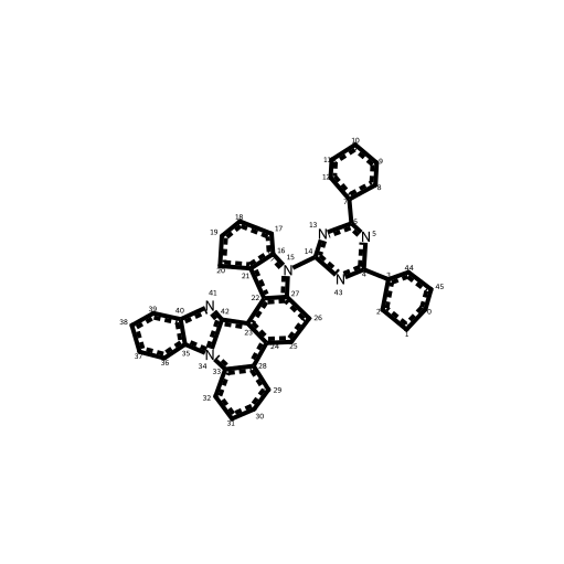 c1ccc(-c2nc(-c3ccccc3)nc(-n3c4ccccc4c4c5c(ccc43)c3ccccc3n3c4ccccc4nc53)n2)cc1